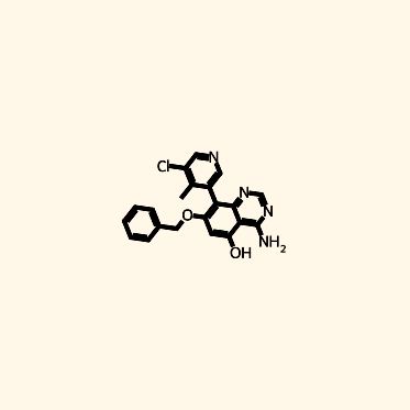 Cc1c(Cl)cncc1-c1c(OCc2ccccc2)cc(O)c2c(N)ncnc12